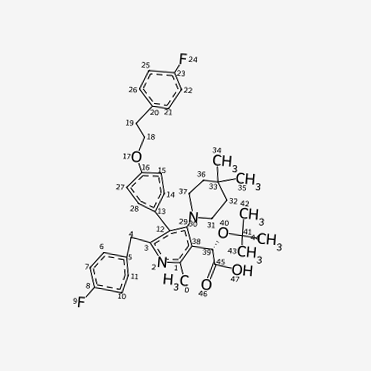 Cc1nc(Cc2ccc(F)cc2)c(-c2ccc(OCCc3ccc(F)cc3)cc2)c(N2CCC(C)(C)CC2)c1[C@H](OC(C)(C)C)C(=O)O